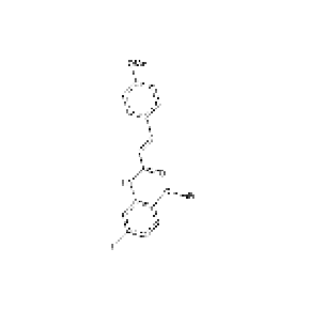 CCCCOc1ccc(F)cc1NC(=O)/C=C/c1ccc(OC)cc1